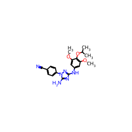 COc1cc(Nc2nc(N)n(-c3ccc(C#N)cc3)n2)cc(OC)c1OC(C)C